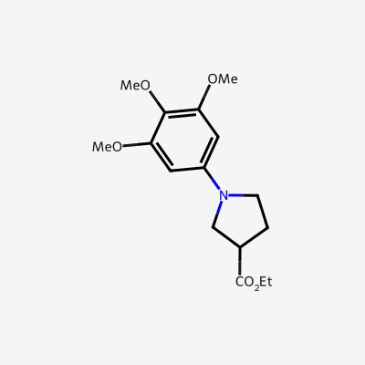 CCOC(=O)C1CCN(c2cc(OC)c(OC)c(OC)c2)C1